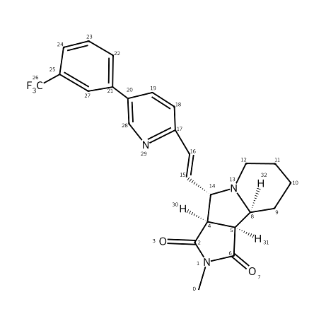 CN1C(=O)[C@@H]2[C@H](C1=O)[C@@H]1CCCCN1[C@H]2/C=C/c1ccc(-c2cccc(C(F)(F)F)c2)cn1